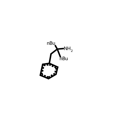 CCCCC(N)(CCCC)Cc1ccccc1